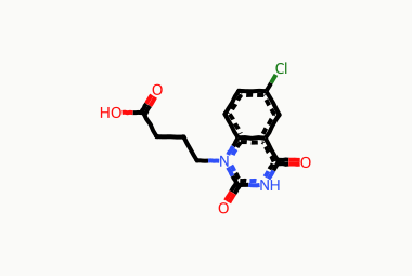 O=C(O)CCCn1c(=O)[nH]c(=O)c2cc(Cl)ccc21